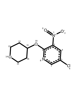 O=[N+]([O-])c1cc(Cl)cnc1OC1CCOCC1